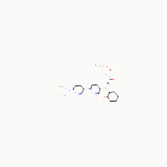 CNC(=O)NC(=O)C(C)(C)C1c2ccc(-c3ccc(N4CCOCC4)nc3)nc2Oc2c(F)cccc21